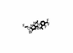 Cc1nc(NC(C)c2cccc(C(F)F)c2F)c2cc(Br)c(OCCF)nc2n1